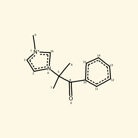 C[n+]1ccn(C(C)(C)C(=O)c2ccccc2)c1